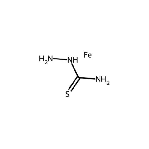 NNC(N)=S.[Fe]